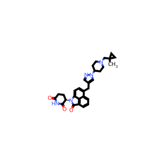 CC1(CN2CCC(n3cc(Cc4ccc5c6c(cccc46)C(=O)N5[C@@H]4CCC(=O)NC4=O)cn3)CC2)CC1